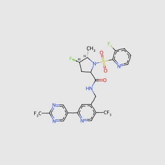 C[C@H]1[C@H](F)CC(C(=O)NCc2cc(-c3cnc(C(F)(F)F)nc3)ncc2C(F)(F)F)N1S(=O)(=O)c1ncccc1F